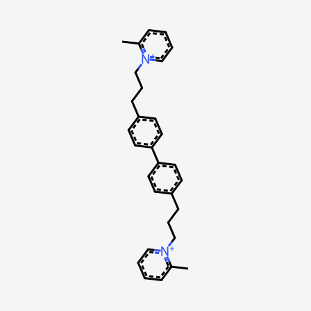 Cc1cccc[n+]1CCCc1ccc(-c2ccc(CCC[n+]3ccccc3C)cc2)cc1